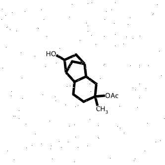 CC(=O)OC1(C)CCC2C3CC(CC3O)C2C1